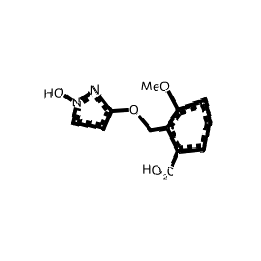 COc1cccc(C(=O)O)c1COc1ccn(O)n1